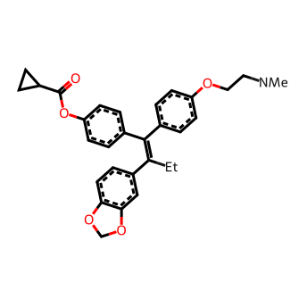 CCC(=C(c1ccc(OCCNC)cc1)c1ccc(OC(=O)C2CC2)cc1)c1ccc2c(c1)OCO2